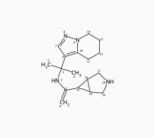 C=C(NC(C)(C)c1cnn2c1CCCC2)C1C2CNCC21